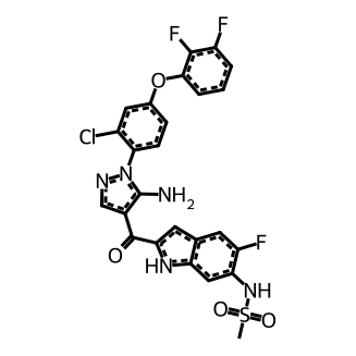 CS(=O)(=O)Nc1cc2[nH]c(C(=O)c3cnn(-c4ccc(Oc5cccc(F)c5F)cc4Cl)c3N)cc2cc1F